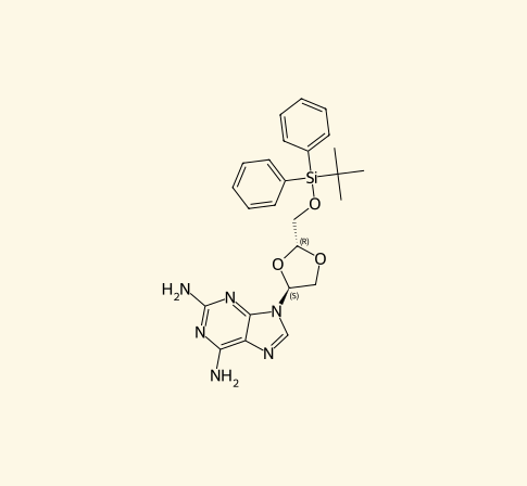 CC(C)(C)[Si](OC[C@@H]1OC[C@@H](n2cnc3c(N)nc(N)nc32)O1)(c1ccccc1)c1ccccc1